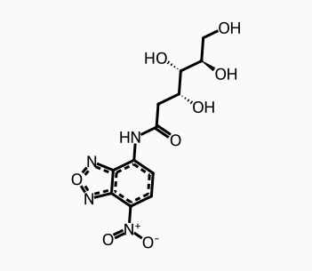 O=C(C[C@@H](O)[C@H](O)[C@H](O)CO)Nc1ccc([N+](=O)[O-])c2nonc12